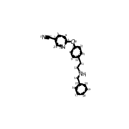 N#Cc1ccc(Oc2ccc(CCNCc3ccccc3)cc2)nc1